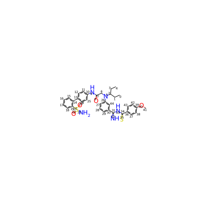 CCC(CC)N(CC(=O)Nc1ccc(-c2ccccc2S(N)(=O)=O)cc1)c1cccc(C(=N)NC(=S)c2ccc(OC)cc2)c1